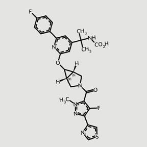 Cn1nc(-c2cscn2)c(F)c1C(=O)N1C[C@@H]2C(Oc3cc(C(C)(C)NC(=O)O)cc(-c4ccc(F)cc4)n3)[C@@H]2C1